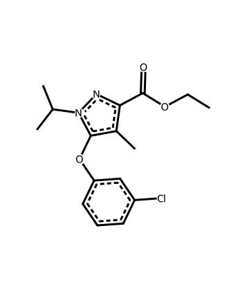 CCOC(=O)c1nn(C(C)C)c(Oc2cccc(Cl)c2)c1C